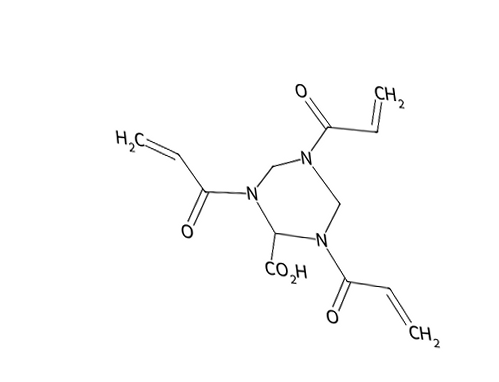 C=CC(=O)N1CN(C(=O)C=C)C(C(=O)O)N(C(=O)C=C)C1